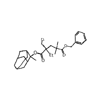 CCC(CCl)(CC(C)(C)C(=O)OCc1ccccc1)C(=O)OC1(C)C2CC3CC(C2)CC1C3